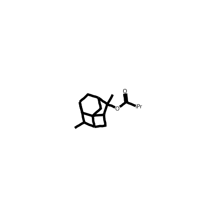 CC(C)C(=O)OC1(C)C2CC3CC4(C2)C(CC41)C3C